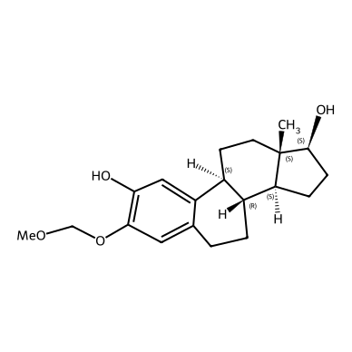 COCOc1cc2c(cc1O)[C@H]1CC[C@]3(C)[C@@H](O)CC[C@H]3[C@@H]1CC2